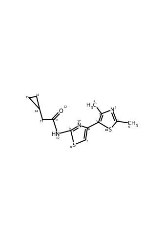 Cc1nc(C)c(-c2csc(NC(=O)CC3CC3)n2)s1